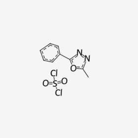 Cc1nnc(-c2ccccc2)o1.O=S(=O)(Cl)Cl